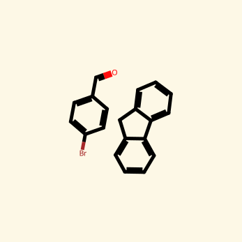 O=Cc1ccc(Br)cc1.c1ccc2c(c1)Cc1ccccc1-2